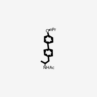 CCCOc1ccc(-c2ccc(C[C@H](C)NC(C)=O)cc2)cc1